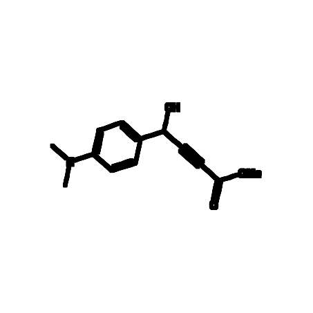 COC(=O)C#CC(O)c1ccc(N(C)C)cc1